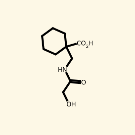 O=C(CO)NCC1(C(=O)O)CCCCC1